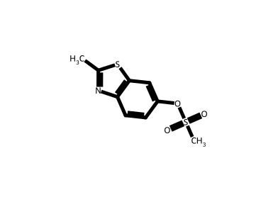 Cc1nc2ccc(OS(C)(=O)=O)cc2s1